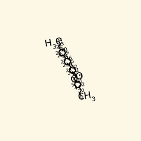 CCCc1ccc(OC(=O)c2ccc(C3CCC(C4CCC(CCC)CC4)CC3)cc2)cc1